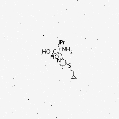 CC(C)CC(N)C(O)(Cc1cc(SCCC2CC2)ccn1)C(=O)O